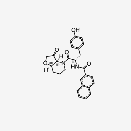 O=C(N[C@@H](Cc1ccc(O)cc1)C(=O)N1CCC[C@H]2OCC(=O)[C@H]21)c1ccc2ccccc2c1